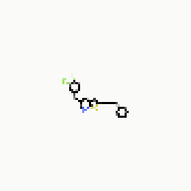 Fc1ccc(Cc2cnc3sc(C#CCc4ccccc4)cc3c2)cc1F